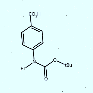 CCN(C(=O)OC(C)(C)C)c1ccc(C(=O)O)cc1